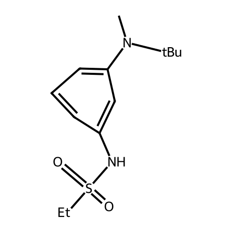 CCS(=O)(=O)Nc1cccc(N(C)C(C)(C)C)c1